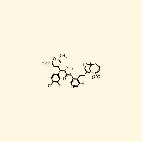 C[C@@H]1C[C@H]([C@H](c2ccc(Cl)c(F)c2)[C@H](N)C(=O)Nc2cncc(F)c2CC[C@H]2CN[C@@H]3CCCS(=O)(=O)N2C3)C[C@H](C)O1